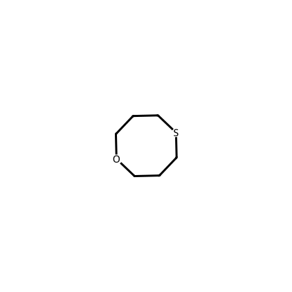 C1COCCCSC1